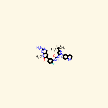 Cn1c(=O)c(-c2ccc(F)c(NC(=O)Nc3cc(C(C)(C)C)nn3-c3ccc4ncccc4c3)c2)cc2cnc(N)nc21